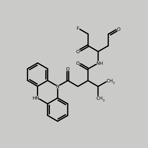 CC(C)C(CC(=O)N1c2ccccc2Nc2ccccc21)C(=O)NC(CC=O)C(=O)CF